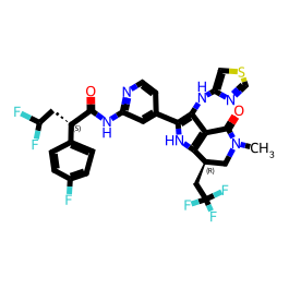 CN1C[C@@H](CC(F)(F)F)c2[nH]c(-c3ccnc(NC(=O)[C@@H](CC(F)F)c4ccc(F)cc4)c3)c(Nc3cscn3)c2C1=O